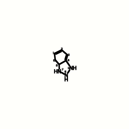 [CH]1C=CC=C2NNNC12